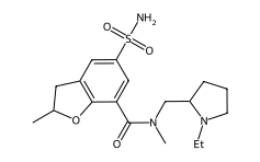 CCN1CCCC1CN(C)C(=O)c1cc(S(N)(=O)=O)cc2c1OC(C)C2